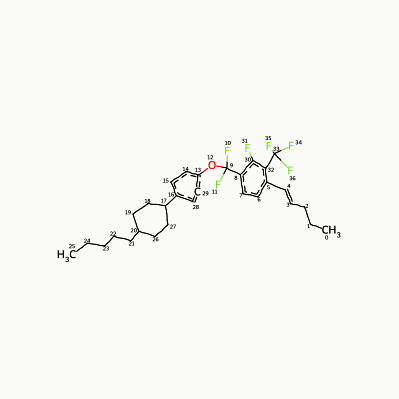 CCC/C=C/c1ccc(C(F)(F)Oc2ccc(C3CCC(CCCCC)CC3)cc2)c(F)c1C(F)(F)F